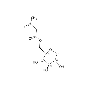 CC(=O)CC(=O)OC[C@H]1O[CH][C@H](O)[C@@H](O)[C@@H]1O